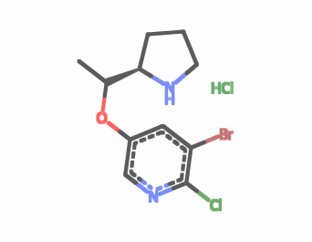 CC(Oc1cnc(Cl)c(Br)c1)[C@H]1CCCN1.Cl